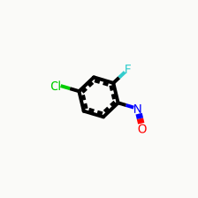 O=Nc1ccc(Cl)cc1F